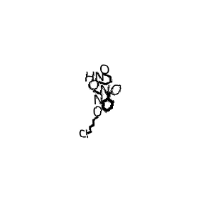 Cc1nc2c(OCCCCCCl)cccc2c(=O)n1C1CCC(=O)NC1=O